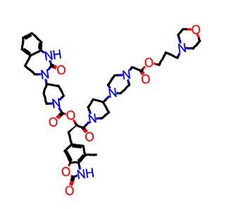 Cc1cc(C[C@@H](OC(=O)N2CCC(N3CCc4ccccc4NC3=O)CC2)C(=O)N2CCC(N3CCN(CC(=O)OCCCN4CCOCC4)CC3)CC2)cc2oc(=O)[nH]c12